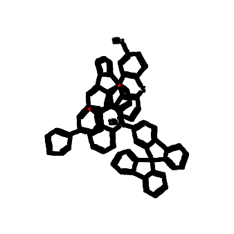 CC(C)(C)c1ccc2c(c1)C1(c3cc(C(C)(C)C)ccc3S2)c2ccccc2-c2ccc(-c3ccccc3N(c3ccc4c(c3)C3(c5ccccc5-c5ccccc53)c3ccccc3-4)c3ccccc3-c3ccc(-c4ccccc4)cc3)cc21